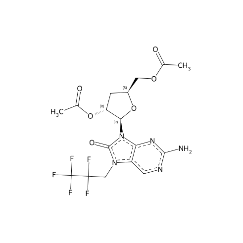 CC(=O)OC[C@@H]1C[C@@H](OC(C)=O)[C@H](n2c(=O)n(CC(F)(F)C(F)(F)F)c3cnc(N)nc32)O1